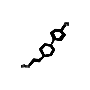 CCCCCC=C[C@H]1CC[C@H](c2ccc(C#N)cc2)CC1